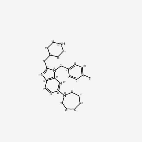 Cc1ccc(Cn2c(CC3CCNCC3)nc3ccc(N4CCCCCC4)nc32)cc1